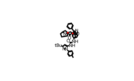 Cc1ccc(-n2nc(C(C)(C)C)cc2NC(=O)Nc2cccc(CC3CC4CCC(C3)N4CC(=O)c3c(-c4ccccc4)noc3C)c2)cc1